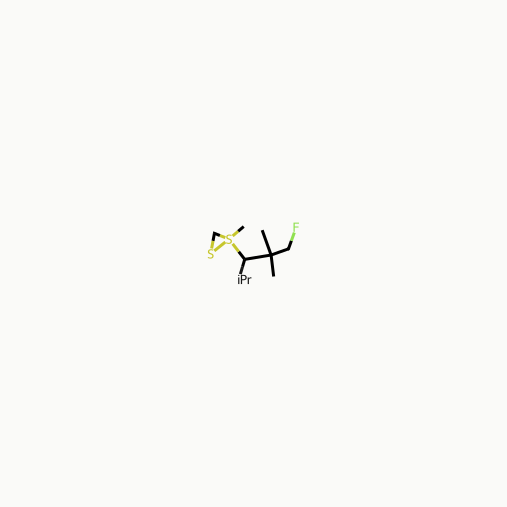 CC(C)C(C(C)(C)CF)S1(C)CS1